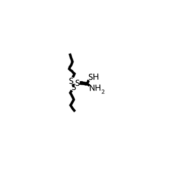 CCCCSSCCCC.NC(=S)S